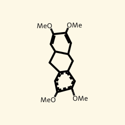 COC1=CC2Cc3cc(OC)c(OC)cc3CC2C=C1OC